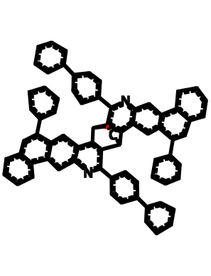 c1ccc(-c2ccc(-c3nc4cc5c(cc4c4c3C3CCC4c4c(-c6ccc(-c7ccccc7)cc6)nc6cc7c(cc6c43)c(-c3ccccc3)cc3ccccc37)c(-c3ccccc3)cc3ccccc35)cc2)cc1